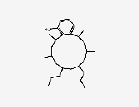 CCCC1CC(C)CC(C)c2cccc(O)c2C(C)CC(C)CC(CCC)C1